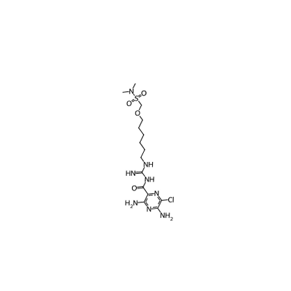 CN(C)S(=O)(=O)COCCCCCCNC(=N)NC(=O)c1nc(Cl)c(N)nc1N